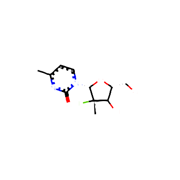 Cc1ccn([C@@H]2O[C@H](CO)C(O)[C@]2(C)F)c(=O)n1